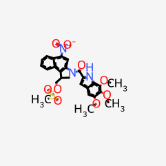 COc1cc2cc(C(=O)N3CC(COS(C)(=O)=O)c4c3cc([N+](=O)[O-])c3ccccc43)[nH]c2c(OC)c1OC